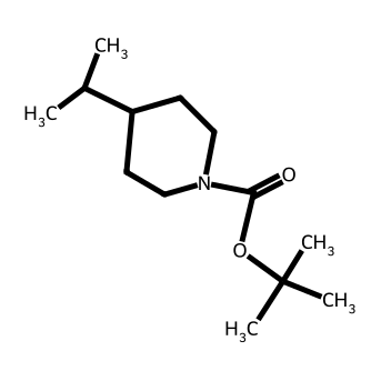 CC(C)C1CCN(C(=O)OC(C)(C)C)CC1